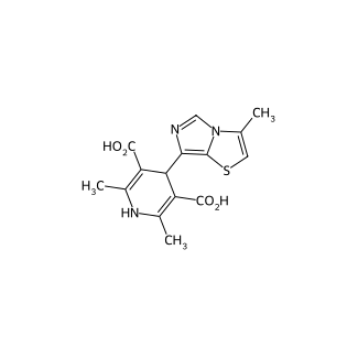 CC1=C(C(=O)O)C(c2ncn3c(C)csc23)C(C(=O)O)=C(C)N1